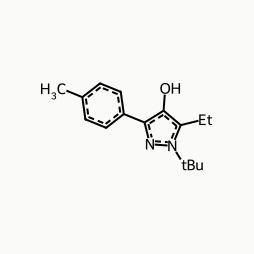 CCc1c(O)c(-c2ccc(C)cc2)nn1C(C)(C)C